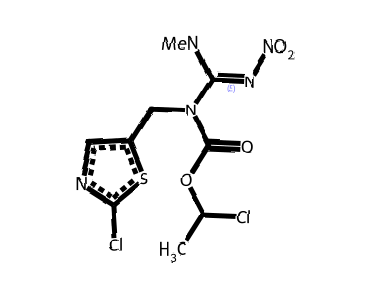 CN/C(=N\[N+](=O)[O-])N(Cc1cnc(Cl)s1)C(=O)OC(C)Cl